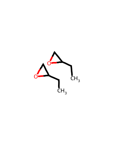 CCC1CO1.CCC1CO1